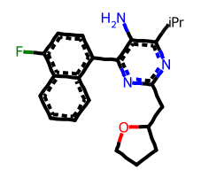 CC(C)c1nc(CC2CCCO2)nc(-c2ccc(F)c3ccccc23)c1N